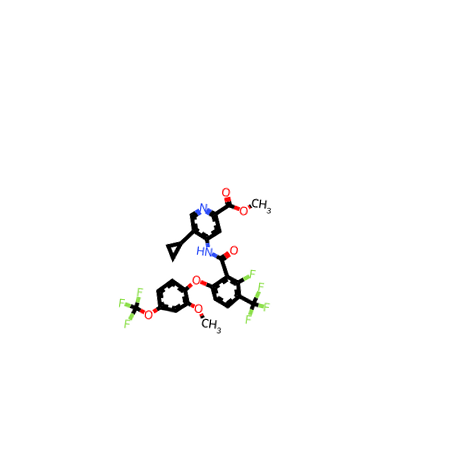 COC(=O)c1cc(NC(=O)c2c(Oc3ccc(OC(F)(F)F)cc3OC)ccc(C(F)(F)F)c2F)c(C2CC2)cn1